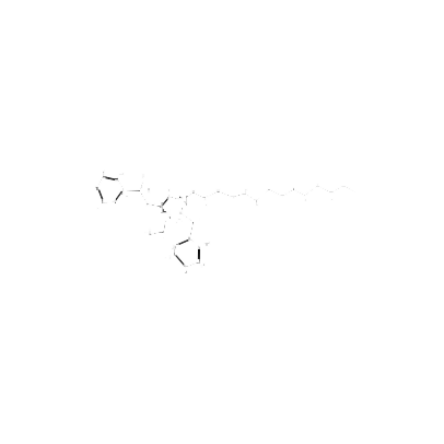 CCCCCCCCCCCCCCn1cc(CC(C)c2ccccc2)[n+](CC)c1Cc1ccccc1